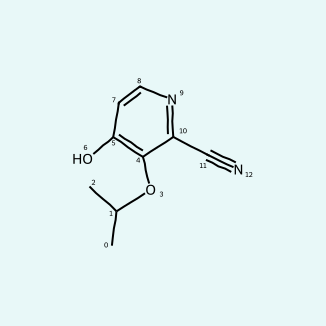 CC(C)Oc1c(O)ccnc1C#N